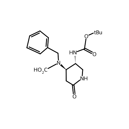 CC(C)(C)OC(=O)N[C@@H]1CNC(=O)C[C@H]1N(Cc1ccccc1)C(=O)O